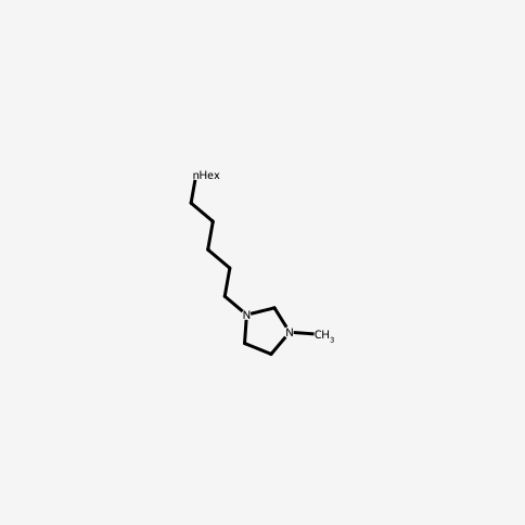 CCCCCCCCCCCN1CCN(C)C1